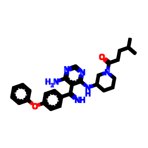 CC(C)CCC(=O)N1CCCC(Nc2ncnc(N)c2C(=N)c2ccc(Oc3ccccc3)cc2)C1